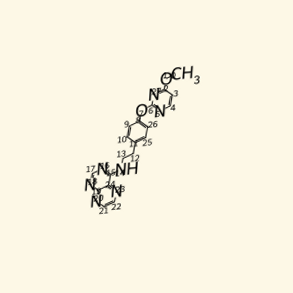 COc1ccnc(Oc2ccc(CCNc3ncnc4nccnc34)cc2)n1